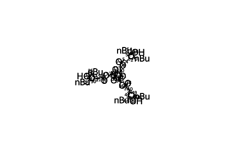 CCCCc1cc(CCC(=O)OCCn2c(=O)n(CCOC(=O)CCc3cc(CCCC)c(O)c(CCCC)c3)c(=O)n(CCOC(=O)CCc3cc(CCCC)c(O)c(CCCC)c3)c2=O)cc(CCCC)c1O